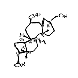 CC(=O)OC1C[C@H]2[C@@H]3CC[C@H](O)[C@@]3(C)CC[C@@H]2[C@@]2(C)CC[C@H](O)C=C12